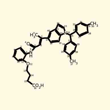 CC(=CC(=O)Nc1ccccc1OCCCC(=O)O)c1ccc2c(ccn2C(c2ccc(C)cc2)c2ccc(C)cc2)c1